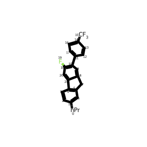 CCCc1ccc2c(c1)Cc1cc(-c3ccc(C(F)(F)F)cc3)c(F)cc1-2